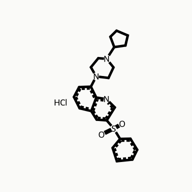 Cl.O=S(=O)(c1ccccc1)c1cnc2c(N3CCN(C4CCCC4)CC3)cccc2c1